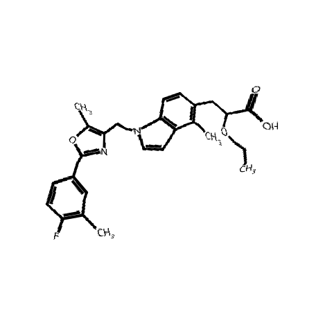 CCOC(Cc1ccc2c(ccn2Cc2nc(-c3ccc(F)c(C)c3)oc2C)c1C)C(=O)O